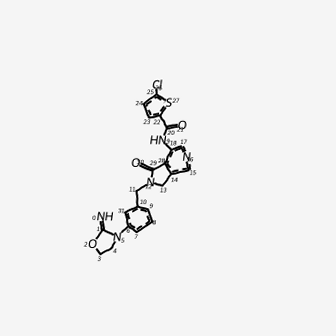 N=C1OCCN1c1cccc(CN2Cc3cncc(NC(=O)c4ccc(Cl)s4)c3C2=O)c1